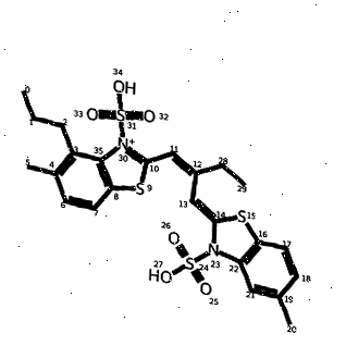 CCCc1c(C)ccc2sc(C=C(C=C3Sc4ccc(C)cc4N3S(=O)(=O)O)CC)[n+](S(=O)(=O)O)c12